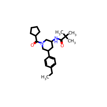 CCc1ccc(C2CC(NC(=O)C(C)(C)C)CN(C(=O)C3CCCC3)C2)cc1